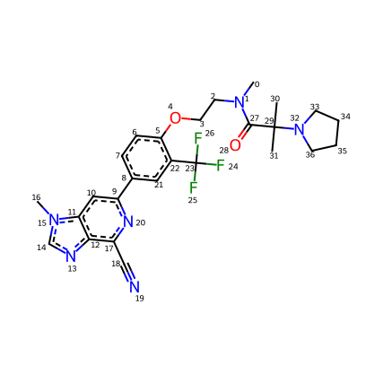 CN(CCOc1ccc(-c2cc3c(ncn3C)c(C#N)n2)cc1C(F)(F)F)C(=O)C(C)(C)N1CCCC1